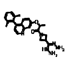 Cc1cccc(C)c1-c1ccnc2cc(OC(C)C(=O)N3CC(/C(=N/N)NN)C3)ccc12